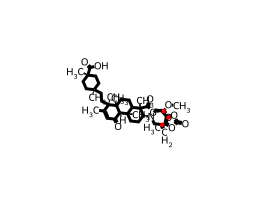 C=CCN(CC(=O)OC)[C@H]1CC[C@@]2(C)C(CC[C@]3(C)[C@@H]2C(=O)C=C(C)[C@@]3(C)CC[C@]2(C)CC[C@@](C)(C(=O)O)CC2)[C@]1(C)C(=O)OCc1oc(=O)oc1C